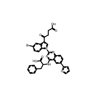 O=C(O)CCC(=O)c1cn(-c2nc(NC(Cc3ccccc3)C(=O)O)c3cc(-c4ccco4)ccc3n2)c2ccc(Br)cc12